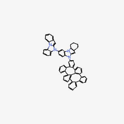 c1ccc2c(c1)cc1n(-c3ccc4c(c3)n3c5c(cc3n4-c3ccc4c6cccc7c6-c6c(cccc6c6ccccc6c4c3)c3ccccc3c3ccccc73)CCCC5)c3ccccc3n21